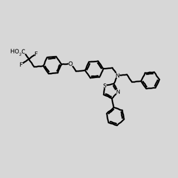 O=C(O)C(F)(F)Cc1ccc(OCc2ccc(CN(CCc3ccccc3)c3nc(-c4ccccc4)cs3)cc2)cc1